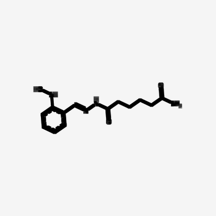 NC(=O)CCCCC(=O)N/N=C/c1ccccc1NO